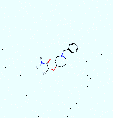 CCN(C)C(=O)[C@H](C)OC1CCCN(Cc2ccccc2)CC1